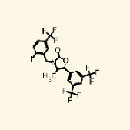 CC1C(c2cc(C(F)(F)F)cc(C(F)(F)F)c2)OC(=O)N1Cc1cc(C(F)(F)F)ccc1I